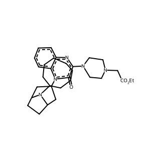 CCOC(=O)CN1CCN(c2nc3ccccc3n(C3CC4CCC(C3)N4C3CCCCCCC3)c2=O)CC1